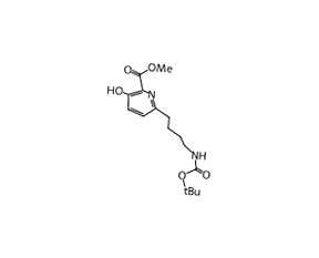 COC(=O)c1nc(CCCCNC(=O)OC(C)(C)C)ccc1O